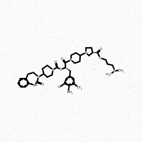 CN(C)CCCOC(=O)[C@@H]1CCN(C2CCN(C(=O)[C@@H](Cc3cc(Cl)c(N)c(C(F)(F)F)c3)OC(=O)N3CCC(N4CCc5ccccc5NC4=O)CC3)CC2)C1